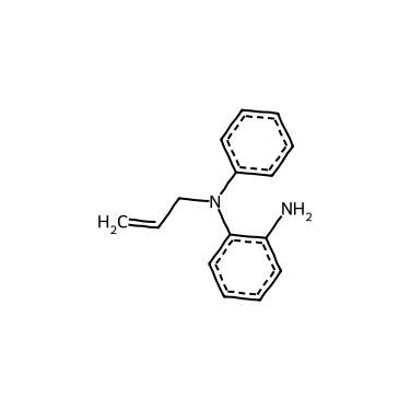 C=CCN(c1ccccc1)c1ccccc1N